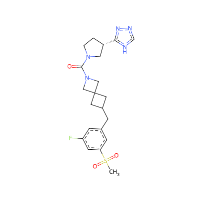 CS(=O)(=O)c1cc(F)cc(CC2CC3(C2)CN(C(=O)N2CC[C@H](c4nnc[nH]4)C2)C3)c1